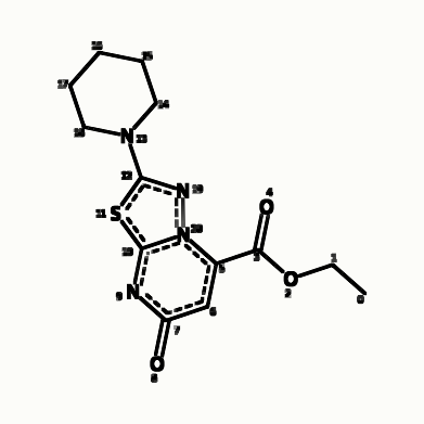 CCOC(=O)c1cc(=O)nc2sc(N3CCCCC3)nn12